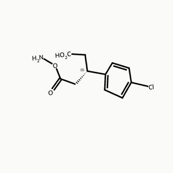 NOC(=O)C[C@H](CC(=O)O)c1ccc(Cl)cc1